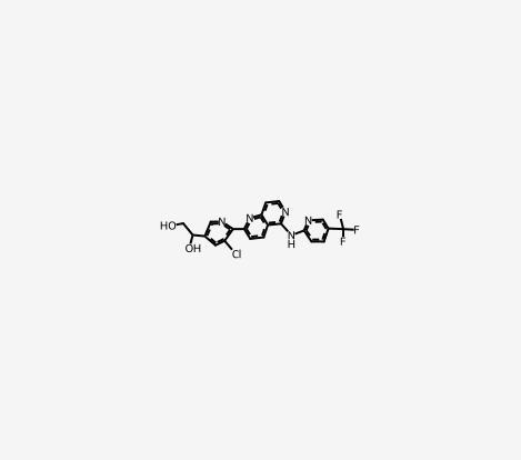 OCC(O)c1cnc(-c2ccc3c(Nc4ccc(C(F)(F)F)cn4)nccc3n2)c(Cl)c1